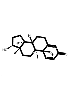 CS[C@]12C=CC(=O)C=C1CC[C@H]1[C@@H]3CC[C@H](O)[C@@]3(C)CC[C@@H]12